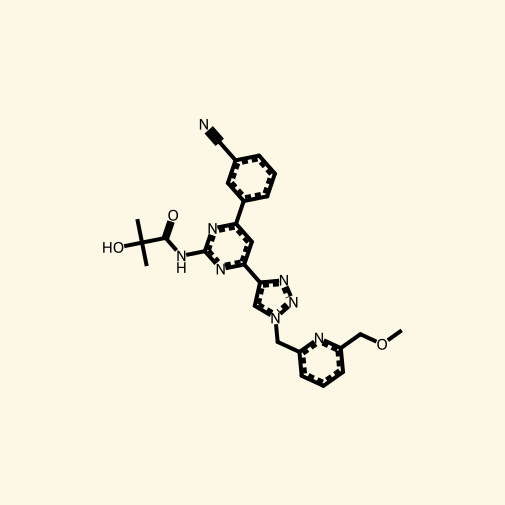 COCc1cccc(Cn2cc(-c3cc(-c4cccc(C#N)c4)nc(NC(=O)C(C)(C)O)n3)nn2)n1